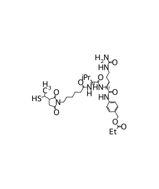 CCC(=O)OCc1ccc(NC(=O)[C@H](CCCNC(N)=O)NC(=O)[C@@H](NC(=O)CCCCCN2C(=O)CC(C(C)S)C2=O)C(C)C)cc1